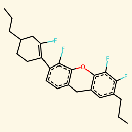 CCCc1cc2c(c(F)c1F)Oc1c(ccc(C3=C(F)CC(CCC)CC3)c1F)C2